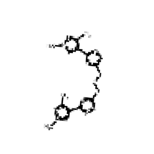 Cn1cc(-c2nnc(SOSc3nnc(-c4cn(C)nc4C(F)(F)F)s3)s2)c(C(F)(F)F)n1